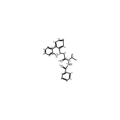 CC(C)N(NC(=O)c1ccccc1)C(=O)CCc1ccccc1-c1ccccc1Cl